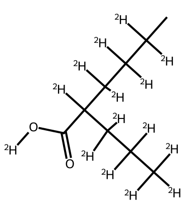 [2H]OC(=O)C([2H])(C([2H])([2H])C([2H])([2H])C([2H])([2H])[2H])C([2H])([2H])C([2H])([2H])C([2H])([2H])C